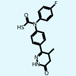 CC1CC(=O)NN=C1c1ccc(N(C(=O)S)c2ccc(F)cc2)cc1